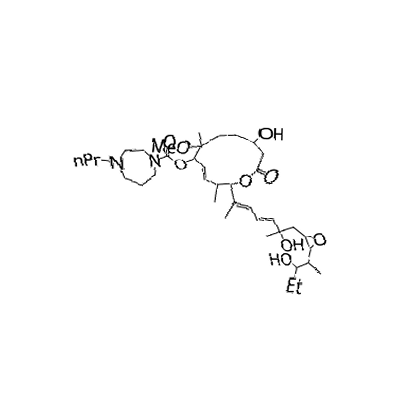 CCCN1CCCN(C(=O)OC2/C=C/C(C)C(/C(C)=C/C=C/C(C)(O)CC3OC3C(C)C(O)CC)OC(=O)CC(O)CCC2(C)OC)CC1